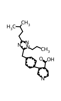 CCCn1nc(CCC(C)C)nc1Cc1ccc(-c2cnccc2C(=O)O)cc1